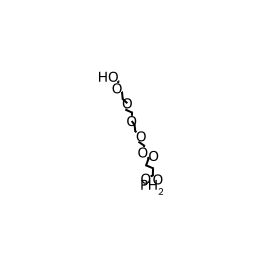 O=C(CCC(=O)OCCOCCOCCOCCOCO)OP